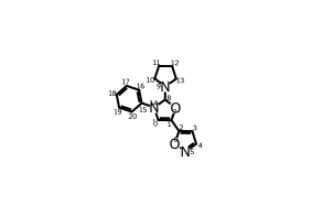 [C]1=C(c2ccno2)OC(N2CCCC2)N1c1ccccc1